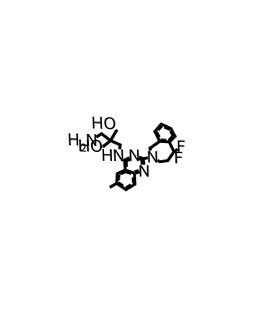 Cc1ccc2nc(N3CCC(F)(F)c4ccccc4C3)nc(NCC(CN)(CO)CO)c2c1